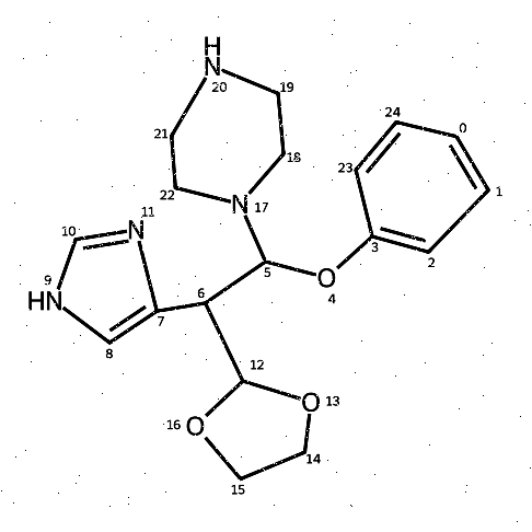 c1ccc(OC(C(c2c[nH]cn2)C2OCCO2)N2CCNCC2)cc1